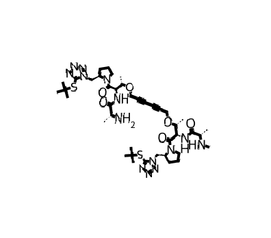 CN[C@@H](C)C(=O)N[C@H](C(=O)N1CCC[C@H]1Cn1nnnc1SC(C)(C)C)[C@@H](C)OCC#CC#CCO[C@@H](C)[C@@H](NC(=O)[C@@H](C)N)C(=O)N1CCC[C@@H]1Cn1nnnc1SC(C)(C)C